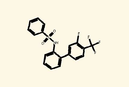 O=S(=O)(Nc1ccccc1-c1ccc(C(F)(F)F)c(F)c1)c1ccccc1